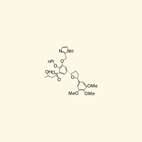 CCCOc1c(OCc2ncc[nH]2)cc([C@@H]2CC[C@@H](c3cc(OC)c(OC)c(OC)c3)O2)cc1S(=O)(=O)CC(C)O